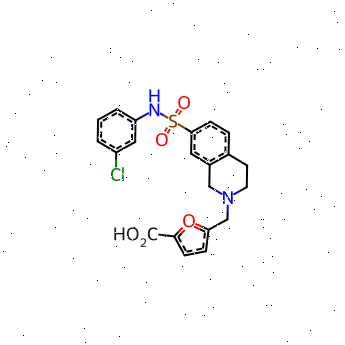 O=C(O)c1ccc(CN2CCc3ccc(S(=O)(=O)Nc4cccc(Cl)c4)cc3C2)o1